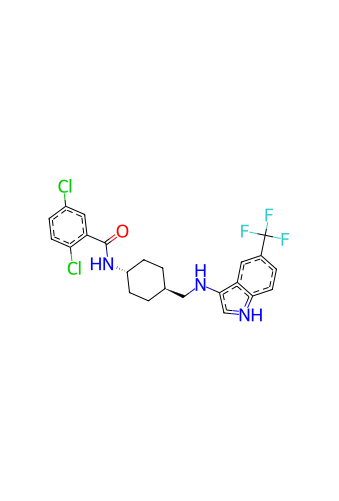 O=C(N[C@H]1CC[C@H](CNc2c[nH]c3ccc(C(F)(F)F)cc23)CC1)c1cc(Cl)ccc1Cl